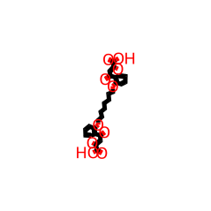 O=C(O)c1cc(=O)c2c(OCCCCCCCCOc3cccc4oc(C(=O)O)cc(=O)c34)cccc2o1